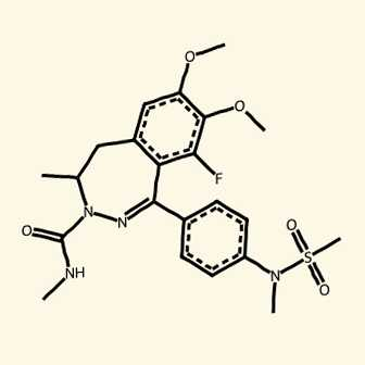 CNC(=O)N1N=C(c2ccc(N(C)S(C)(=O)=O)cc2)c2c(cc(OC)c(OC)c2F)CC1C